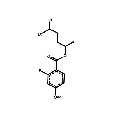 CCC(CC)CC[C@@H](C)OC(=O)c1ccc(OC(C)=O)cc1F